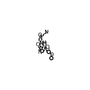 Cc1cc(Oc2ccccc2)ccc1N1C(=O)Nc2c(C(=O)NC3CCN(C(=O)C=CCN(C)C)C3)sc3nccc1c23